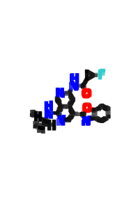 [2H]C([2H])([2H])Nc1ncc(-c2nc3ccccc3o2)c2cc(NC(=O)C3CC3F)ncc12